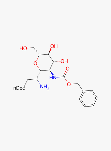 CCCCCCCCCCCC(N)[C@@H]1O[C@H](CO)[C@@H](O)[C@H](O)[C@H]1NC(=O)OCc1ccccc1